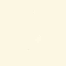 CC=CC1CCC(CC(F)(F)OCc2ccc(C)cc2)CC1